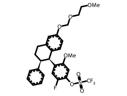 COCCOCOc1ccc2c(c1)CC[C@H](c1ccccc1)[C@@H]2c1cc(F)c(OS(=O)(=O)C(F)(F)F)cc1OC